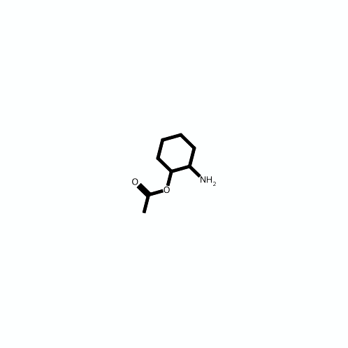 CC(=O)OC1CCCCC1N